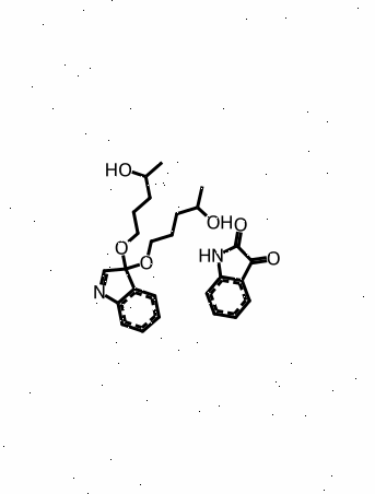 CC(O)CCCOC1(OCCCC(C)O)C=Nc2ccccc21.O=C1Nc2ccccc2C1=O